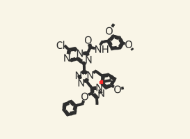 CCn1nc(C)c(OCc2ccccc2)c1-c1nnc(-c2nc(C(=O)NCc3ccc(OC)cc3OC)n3cc(Cl)ncc23)n1Cc1ccc(OC)cc1